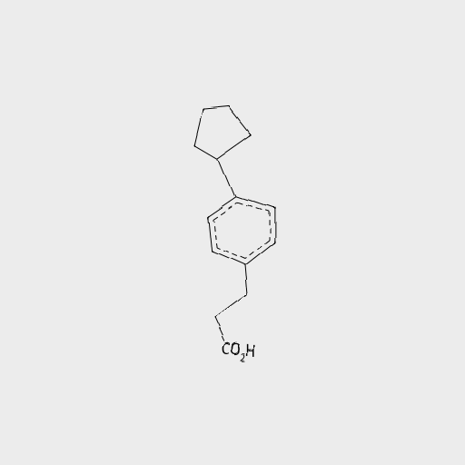 O=C(O)CCc1ccc(C2CCCC2)cc1